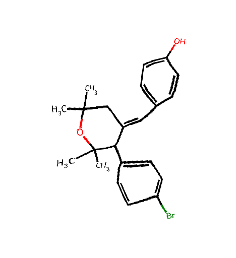 CC1(C)CC(=Cc2ccc(O)cc2)C(c2ccc(Br)cc2)C(C)(C)O1